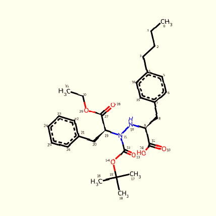 CCCCc1ccc(C[C@H](NN(C(=O)OC(C)(C)C)[C@@H](Cc2ccccc2)C(=O)OCC)C(=O)O)cc1